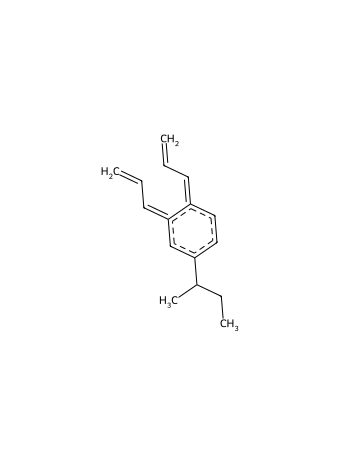 C=C/C=c1/ccc(C(C)CC)c/c1=C/C=C